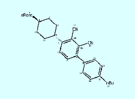 CCCCC[C@H]1CC[C@H](c2ccc(-c3ccc(CCCC)cc3)c(C#N)c2C#N)CC1